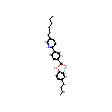 CCCCCCc1ccc(-c2ccc(C(=O)Oc3ccc(CCCC)cc3F)cc2)nc1